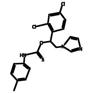 Cc1ccc(NC(=S)OC(Cn2ccnc2)c2ccc(Cl)cc2Cl)cc1